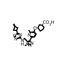 C=C1CC(c2nc(NCc3c(-c4ccc(O[C@H]5CCC[C@H](C(=O)O)C5)c(C)n4)nnn3C)no2)C1